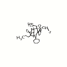 CCCC1C(=O)NC(CS)(S(C)(=O)=O)C(=O)N1C1CCCCC1